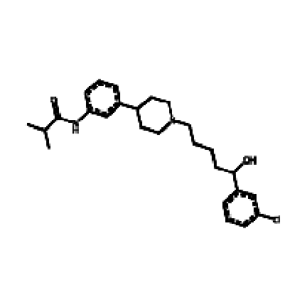 CC(C)C(=O)Nc1cccc(C2CCN(CCCCC(O)c3cccc(Cl)c3)CC2)c1